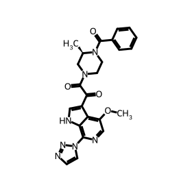 COc1cnc(-n2ccnn2)c2[nH]cc(C(=O)C(=O)N3CCN(C(=O)c4ccccc4)[C@H](C)C3)c12